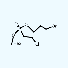 CCCCCCOP(=O)(CCCl)OCCCBr